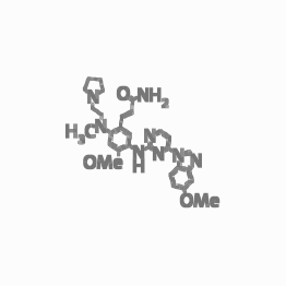 COc1ccc2c(c1)ncn2-c1ccnc(Nc2cc(C=CC(N)=O)c(N(C)CCN3CCCC3)cc2OC)n1